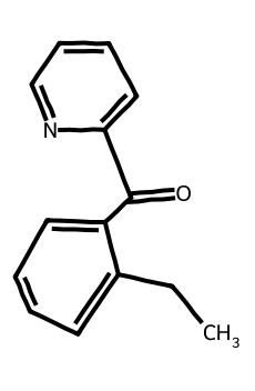 CCc1ccccc1C(=O)c1ccccn1